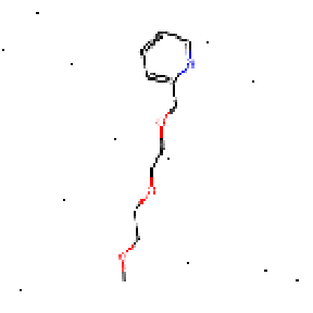 COCCOCCOCc1ccccn1